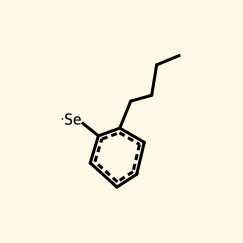 CCCCc1ccccc1[Se]